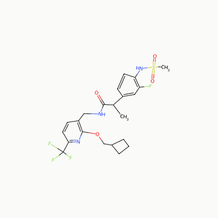 CC(C(=O)NCc1ccc(C(F)(F)F)nc1OCC1CCC1)c1ccc(NS(C)(=O)=O)c(F)c1